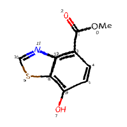 COC(=O)c1ccc(O)c2scnc12